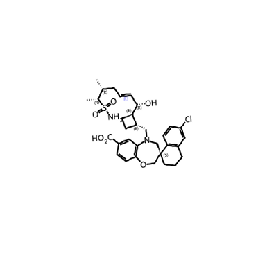 C[C@H](C/C=C/[C@H](O)[C@@H]1CC[C@H]1CN1C[C@@]2(CCCc3cc(Cl)ccc32)COc2ccc(C(=O)O)cc21)[C@@H](C)S(N)(=O)=O